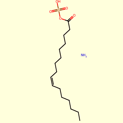 CCCCCC/C=C\CCCCCCCC(=O)OS(=O)(=O)O.N